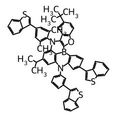 Cc1cc(-c2csc3ccccc23)cc(C)c1N1c2cc(C(C)C)cc3c2B(c2ccc(-c4csc5ccccc45)cc2N3c2cccc(-c3csc4ccccc34)c2)c2oc3ccc(C(C)(C)C)cc3c21